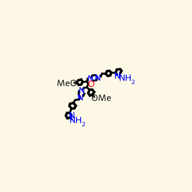 COc1ccc(C(CN2CCN(CCc3ccc(-c4cccc(N)n4)cc3)CC2)C(=O)C(CN2CCN(CCc3ccc(-c4cccc(N)n4)cc3)CC2)c2ccc(OC)cc2)cc1